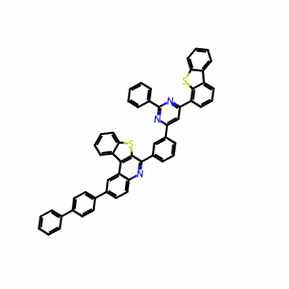 c1ccc(-c2ccc(-c3ccc4nc(-c5cccc(-c6cc(-c7cccc8c7sc7ccccc78)nc(-c7ccccc7)n6)c5)c5sc6ccccc6c5c4c3)cc2)cc1